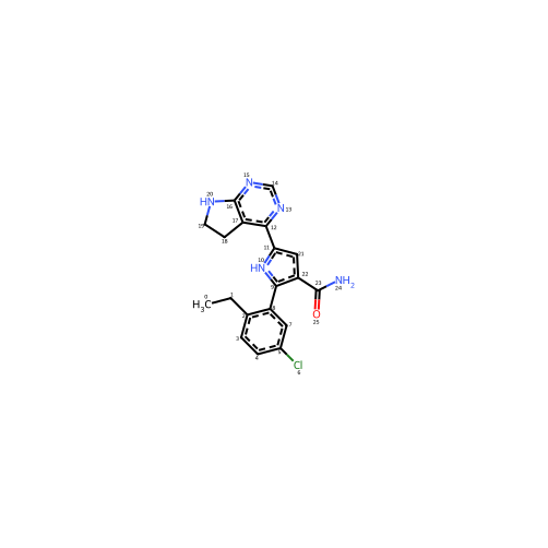 CCc1ccc(Cl)cc1-c1[nH]c(-c2ncnc3c2CCN3)cc1C(N)=O